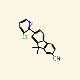 CC1(C)c2cc(C#N)ccc2-c2ccc(-c3ncccc3Cl)cc21